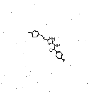 Cc1ccc(CSc2nnc(NC(=O)c3ccc(F)cc3)s2)cc1